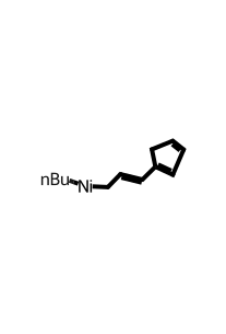 CCC[CH2][Ni][CH2]C=CC1=CC=CC1